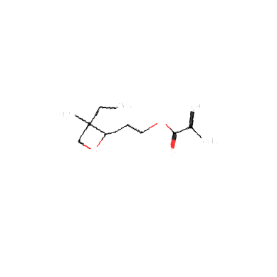 C=C(C)C(=O)OCCC1OCC1(C)CC